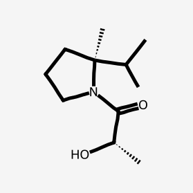 CC(C)[C@]1(C)CCCN1C(=O)[C@H](C)O